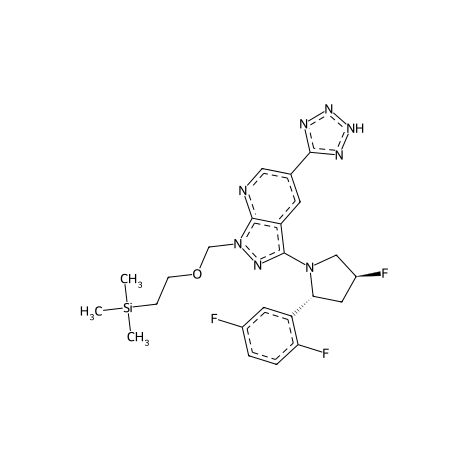 C[Si](C)(C)CCOCn1nc(N2C[C@@H](F)C[C@@H]2c2cc(F)ccc2F)c2cc(-c3nn[nH]n3)cnc21